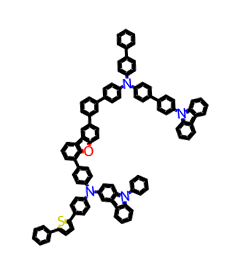 c1ccc(-c2ccc(N(c3ccc(-c4ccc(-n5c6ccccc6c6ccccc65)cc4)cc3)c3ccc(-c4cccc(-c5ccc6oc7c(-c8ccc(N(c9ccc(-c%10ccc(-c%11ccccc%11)s%10)cc9)c9ccc%10c(c9)c9ccccc9n%10-c9ccccc9)cc8)cccc7c6c5)c4)cc3)cc2)cc1